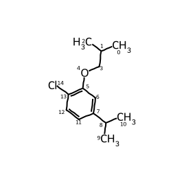 CC(C)COc1cc(C(C)C)ccc1Cl